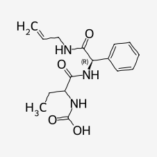 C=CCNC(=O)[C@H](NC(=O)C(CC)NC(=O)O)c1ccccc1